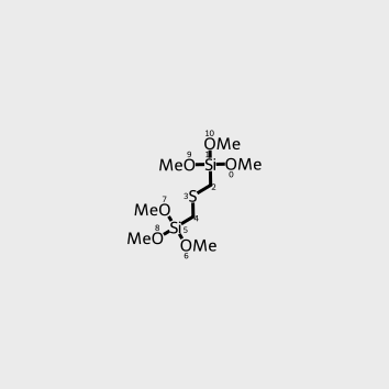 CO[Si](CSC[Si](OC)(OC)OC)(OC)OC